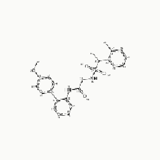 COc1ccc(-c2ccccc2NC(=O)CNS(=O)(=O)C(C)c2ccccc2C)cc1